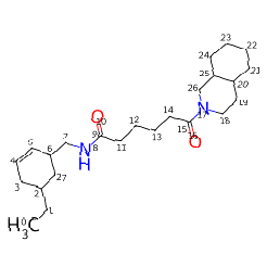 CCC1CC=CC(CNC(=O)CCCCC(=O)N2CCC3CCCCC3C2)C1